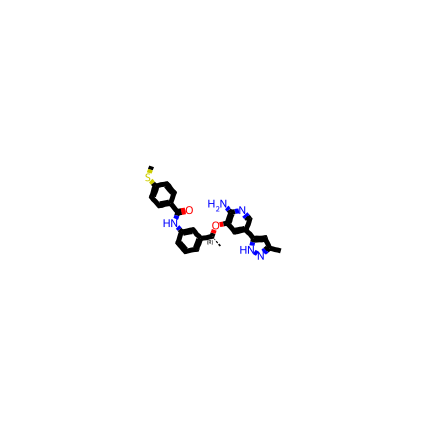 CSc1ccc(C(=O)Nc2cccc([C@@H](C)Oc3cc(-c4cc(C)n[nH]4)cnc3N)c2)cc1